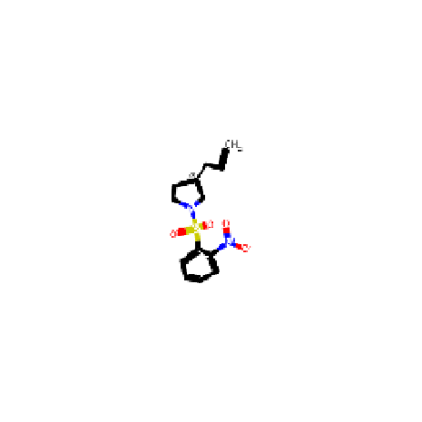 C=CC[C@@H]1CCN(S(=O)(=O)c2ccccc2[N+](=O)[O-])C1